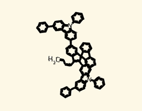 C=C/C=C\C1=C(c2ccc3c(c2)c2cc(-c4ccccc4)ccc2n3-c2ccccc2)C2(c3cc(-c4ccc5c(c4)c4cc(-c6ccccc6)ccc4n5-c4ccccc4)ccc31)c1ccccc1-c1ccccc12